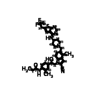 C=CC(=O)Nc1ccc(C(O)Cn2c(C#N)cc3c(C)c(CN4CCC(Nc5ncnc6sc(CC(F)(F)F)cc56)CC4)ccc32)cc1C